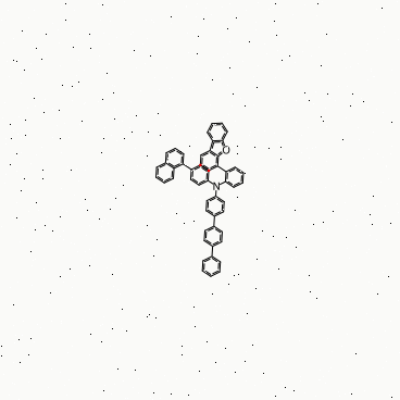 c1ccc(-c2ccc(-c3ccc(N(c4ccc(-c5cccc6ccccc56)cc4)c4ccccc4-c4cccc5c4oc4ccccc45)cc3)cc2)cc1